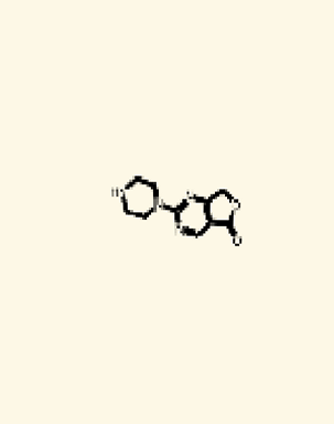 O=C1OCc2nc(N3CCNCC3)ncc21